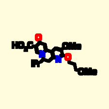 COCCCOc1nc2c(cc1OC)-c1cc(=O)c(C(=O)O)cn1C(C(C)C)C2